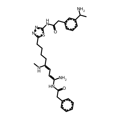 CN/C(=C\C=C(/N)NC(=O)Cc1ccccc1)CCCCc1nnc(NC(=O)Cc2cccc(C(C)N)c2)s1